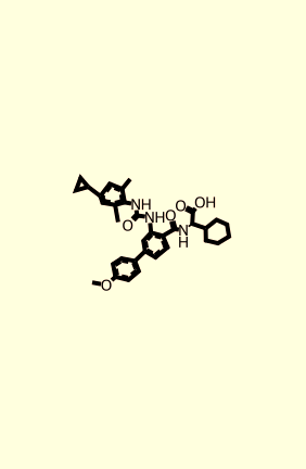 COc1ccc(-c2ccc(C(=O)N[C@H](C(=O)O)C3CCCCC3)c(NC(=O)Nc3c(C)cc(C4CC4)cc3C)c2)cc1